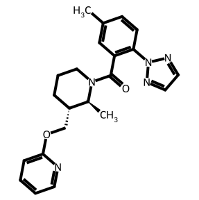 Cc1ccc(-n2nccn2)c(C(=O)N2CCC[C@@H](COc3ccccn3)[C@@H]2C)c1